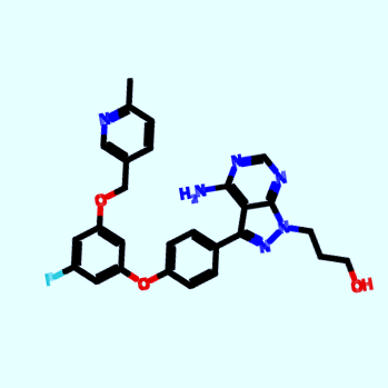 Cc1ccc(COc2cc(F)cc(Oc3ccc(-c4nn(CCCO)c5ncnc(N)c45)cc3)c2)cn1